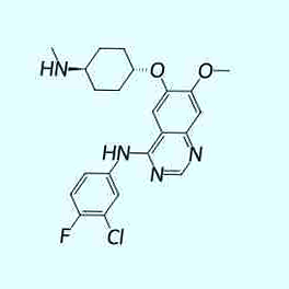 CN[C@H]1CC[C@H](Oc2cc3c(Nc4ccc(F)c(Cl)c4)ncnc3cc2OC)CC1